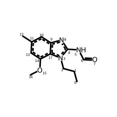 CCCn1c(NC=O)nc2cc(C)cc(OC)c21